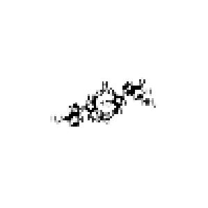 Nc1nc2c(ncn2[C@@H]2O[C@@H]3COP(=O)(O)OC4[C@@H](COPO[C@H]2C3O)O[C@@H](n2cnc3c(N)ncnc32)[C@H]4F)c(=O)[nH]1